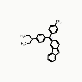 CCN(CC)c1ccc(/C(c2ccc(C)cc2)=c2/ccc3c(c2)-c2ccccc2N=3)cc1